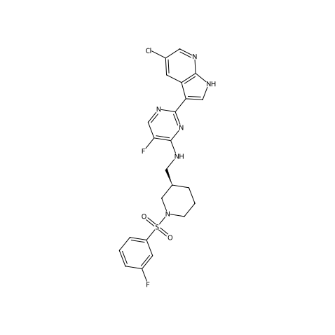 O=S(=O)(c1cccc(F)c1)N1CCC[C@H](CNc2nc(-c3c[nH]c4ncc(Cl)cc34)ncc2F)C1